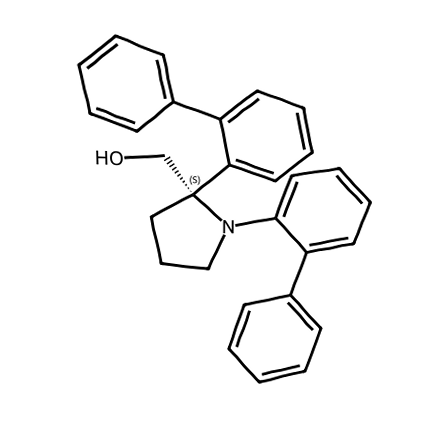 OC[C@@]1(c2ccccc2-c2ccccc2)CCCN1c1ccccc1-c1ccccc1